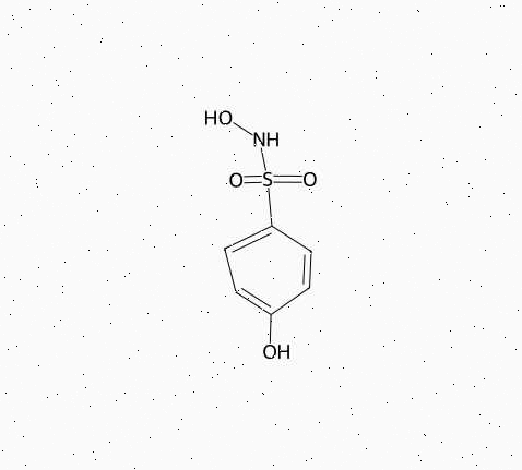 O=S(=O)(NO)c1ccc(O)cc1